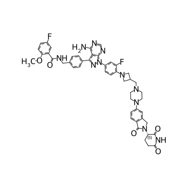 COc1ccc(F)cc1C(=O)NCc1ccc(-c2nn(-c3ccc(N4CC(CN5CCN(c6ccc7c(c6)CN([C@H]6CCC(=O)NC6=O)C7=O)CC5)C4)c(F)c3)c3ncnc(N)c23)cc1